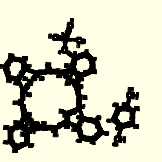 O=[S](=O)([Co])Oc1cccc2c3nc4nc(nc5[nH]c(nc6nc(nc([nH]3)c12)-c1ccccc1-6)c1ccccc51)-c1ccccc1-4.Oc1ccc(O)cc1